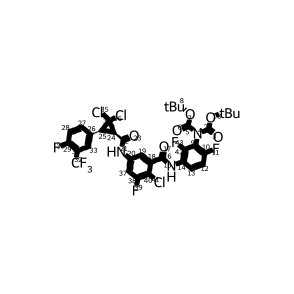 CC(C)(C)OC(=O)N(C(=O)OC(C)(C)C)c1c(F)ccc(NC(=O)c2cc(NC(=O)[C@H]3[C@H](c4ccc(F)c(C(F)(F)F)c4)C3(Cl)Cl)cc(F)c2Cl)c1F